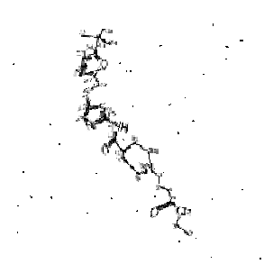 CCOC(=O)CCCN1CCC(C(=O)Nc2ncc(SCc3ncc(C(C)(C)C)o3)s2)CC1